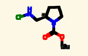 CC(C)(C)OC(=O)N1CCC[C@@H]1CNCl